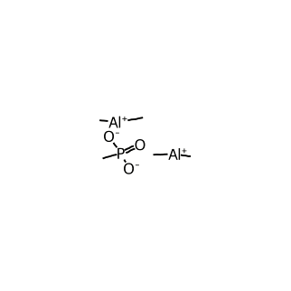 CP(=O)([O-])[O-].[CH3][Al+][CH3].[CH3][Al+][CH3]